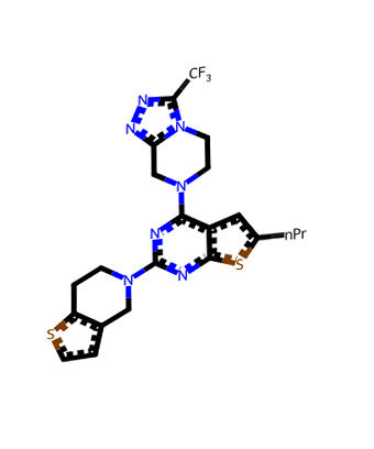 CCCc1cc2c(N3CCn4c(nnc4C(F)(F)F)C3)nc(N3CCc4sccc4C3)nc2s1